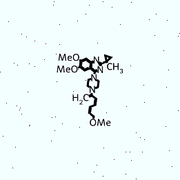 C=C(/C=C\C=C/COC)N1CCN(c2nc(C3(C)CC3)nc3cc(OC)c(OC)cc23)CC1